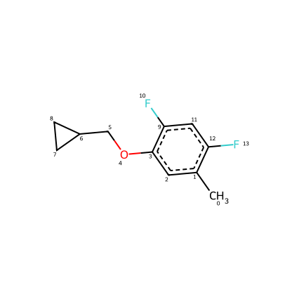 Cc1cc(OCC2CC2)c(F)cc1F